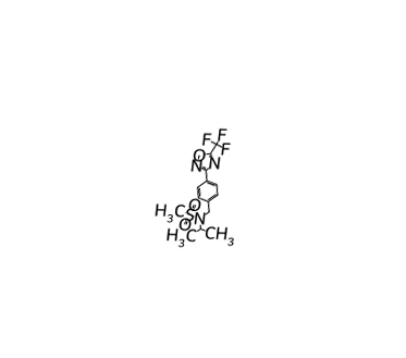 CC(C)N(Cc1ccc(-c2noc(C(F)(F)F)n2)cc1)S(C)(=O)=O